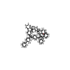 CC1(C)c2ccccc2-c2ccc(N(c3ccc(-c4ccccc4)cc3)c3ccc(-c4c(-c5cccc6ccccc56)n(-c5ccccc5)c5ccccc45)cc3)cc21